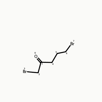 O=C(CBr)CCCBr